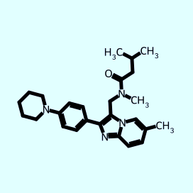 Cc1ccc2nc(-c3ccc(N4CCCCC4)cc3)c(CN(C)C(=O)CC(C)C)n2c1